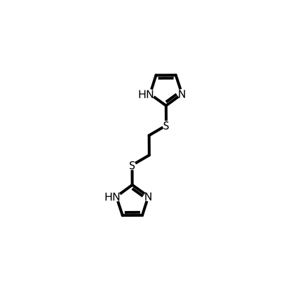 c1c[nH]c(SCCSc2ncc[nH]2)n1